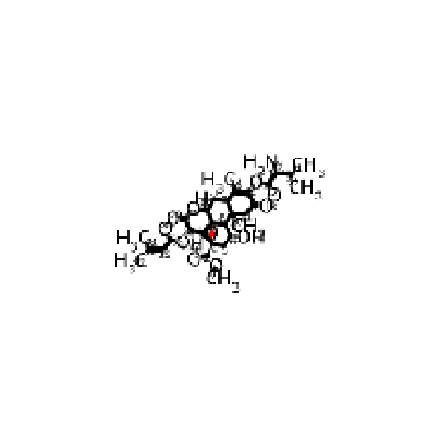 COC(=O)[C@@]12C[C@H](O)C3[C@@]4(C)CC(=O)C(OC(=O)[C@@H](N)C(C)C)=C(C)C4C[C@H]4OC(=O)[C@H](OC(=O)C=C(C)C)[C@@H]1[C@@]34CO2